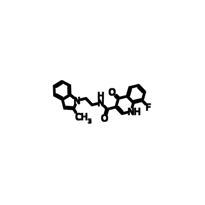 Cc1cc2ccccc2n1CCNC(=O)c1c[nH]c2c(F)cccc2c1=O